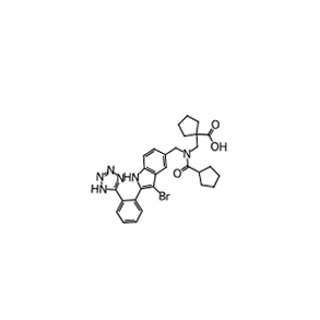 O=C(C1CCCC1)N(Cc1ccc2[nH]c(-c3ccccc3-c3nnn[nH]3)c(Br)c2c1)CC1(C(=O)O)CCCC1